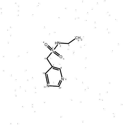 CCNS(=O)(=O)Cc1cncnc1